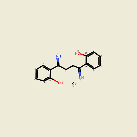 N=C(CCC(=N)c1ccccc1O)c1ccccc1O.[Co]